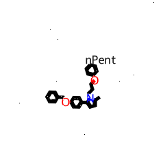 CCCCCc1ccc(OCCCn2c(C)ccc2-c2ccc(OCc3ccccc3)cc2)cc1